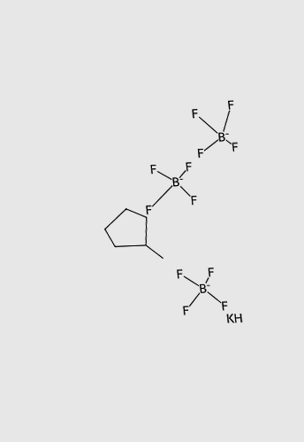 CC1CCCC1.F[B-](F)(F)F.F[B-](F)(F)F.F[B-](F)(F)F.[KH]